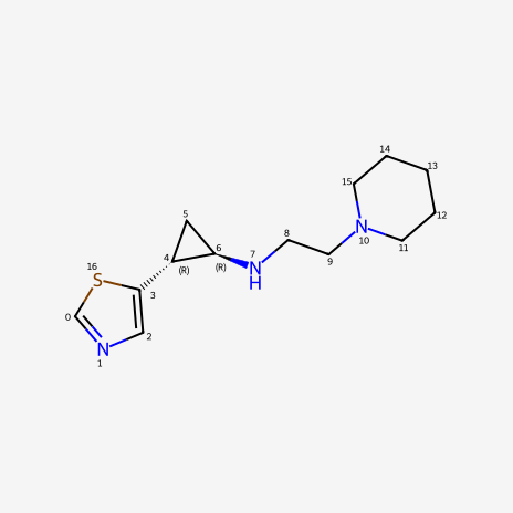 c1ncc([C@@H]2C[C@H]2NCCN2CCCCC2)s1